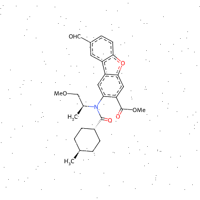 COC[C@H](C)N(c1cc2c(cc1C(=O)OC)oc1ccc(C=O)cc12)C(=O)[C@H]1CC[C@H](C)CC1